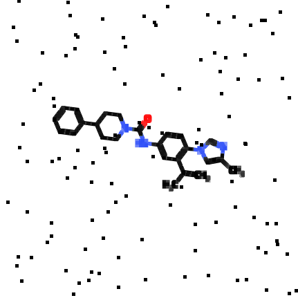 C=C(C)c1cc(NC(=O)N2CCC(c3ccccc3)CC2)ccc1-n1cnc(C)c1